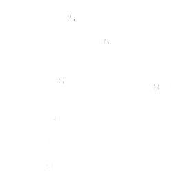 O=c1[nH]cnc2c(Sc3sccc3OCP(=O)(O)O)c[nH]c12.[NaH]